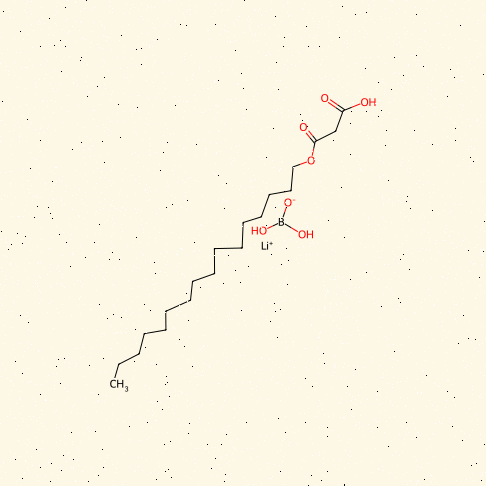 CCCCCCCCCCCCCCCCOC(=O)CC(=O)O.[Li+].[O-]B(O)O